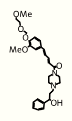 COCCOCOc1ccc(C=CC=CC(=O)N2CCN(CCC(O)c3ccccc3)CC2)cc1OC